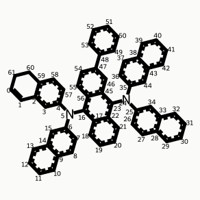 C1=Cc2cc(N(c3ccc4ccccc4c3)c3c4ccccc4c(N(c4ccc5ccccc5c4)c4ccc5ccccc5c4)c4cc(-c5ccccc5)ccc34)ccc2CC1